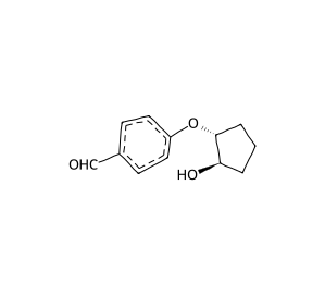 O=Cc1ccc(O[C@@H]2CCC[C@H]2O)cc1